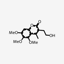 COc1cc2oc(=O)c(CCO)c(C)c2c(OC)c1OC